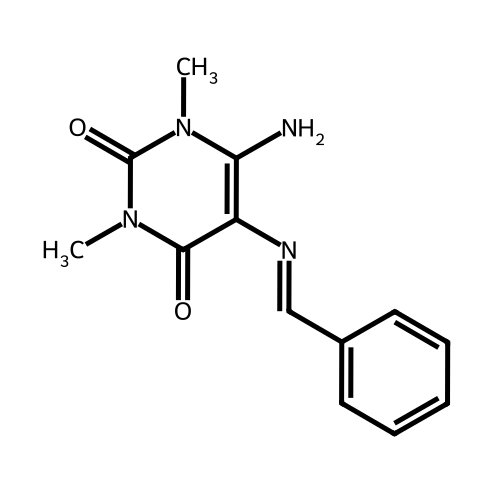 Cn1c(N)c(/N=C/c2ccccc2)c(=O)n(C)c1=O